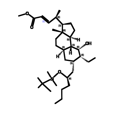 CCCC[C@H](C[C@@H]1C[C@H]2CC[C@]3(C)[C@@H]([C@H](C)/C=C/C(=O)OC)CC[C@H]3[C@@H]2[C@H](O)[C@@H]1CC)O[Si](C)(C)C(C)(C)C